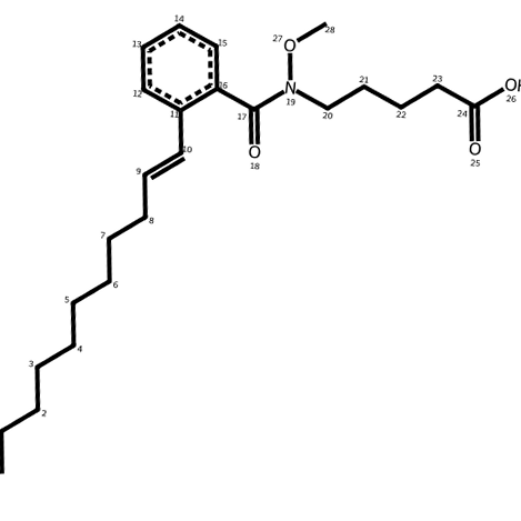 CCCCCCCCCC=Cc1ccccc1C(=O)N(CCCCC(=O)O)OC